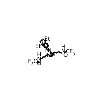 CCN1CCN(CC)c2cc(/N=N/c3n(CCCCNC(=O)C(F)(F)F)cc[n+]3CCCCNC(=O)C(F)(F)F)ccc21